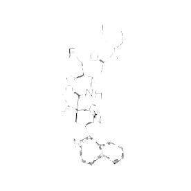 CCC(CC)OC(=O)C[C@H](NC(=O)C1(C(C)C)CC(c2nccc3ccccc23)=NO1)C(=O)CF